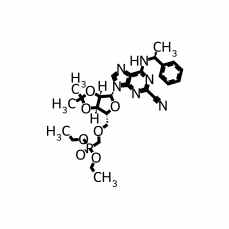 CCOP(=O)(COC[C@H]1O[C@@H](n2cnc3c(N[C@@H](C)c4ccccc4)nc(C#N)nc32)[C@@H]2OC(C)(C)O[C@@H]21)OCC